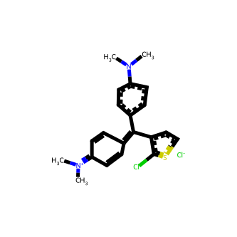 CN(C)c1ccc(C(=C2C=CC(=[N+](C)C)C=C2)c2ccsc2Cl)cc1.[Cl-]